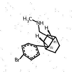 CNC[C@@H]1C2CCC(CC2)[C@@H]1c1ccc(Br)cc1